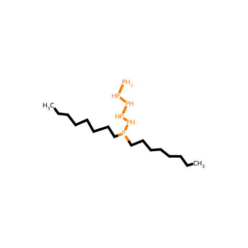 CCCCCCCCP(CCCCCCCC)PPPPP